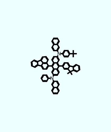 CC(C)(C)c1ccc(N(c2ccc3ccccc3c2)c2ccc3c(-c4ccc5c6c(cccc46)-c4ccccc4-5)c4cc(N(c5ccccc5)c5ccc6ccccc6c5)ccc4c(-c4ccc5c(c4)C(C)(C)c4ccccc4-5)c3c2)cc1